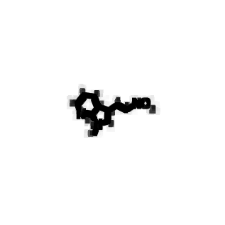 Cn1cc(C=C[N+](=O)[O-])c2cccnc21